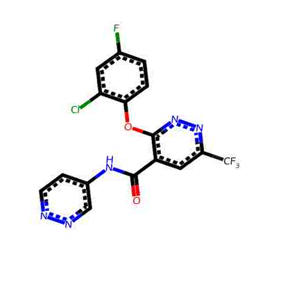 O=C(Nc1ccnnc1)c1cc(C(F)(F)F)nnc1Oc1ccc(F)cc1Cl